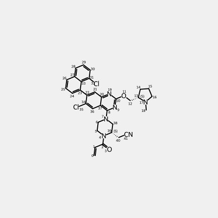 C=CC(=O)N1CCN(c2nc(OC[C@@H]3CCCN3C)nc3cc(-c4cccc5cccc(Cl)c45)c(Cl)cc23)C[C@@H]1CC#N